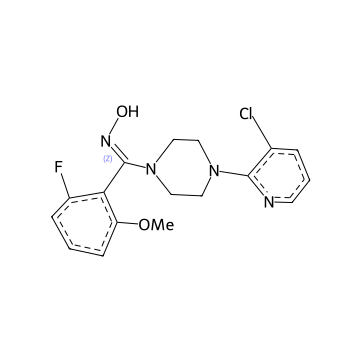 COc1cccc(F)c1/C(=N/O)N1CCN(c2ncccc2Cl)CC1